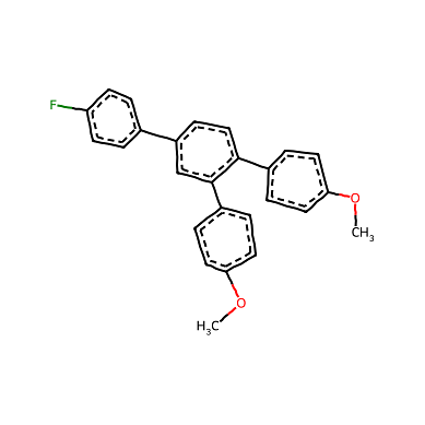 COc1ccc(-c2ccc(-c3ccc(F)cc3)cc2-c2ccc(OC)cc2)cc1